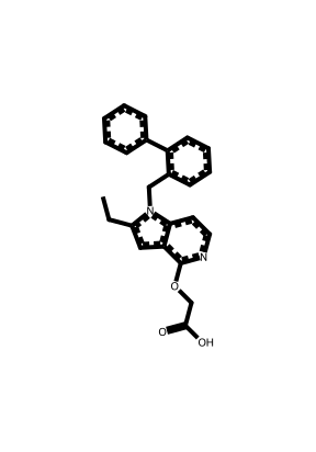 CCc1cc2c(OCC(=O)O)nccc2n1Cc1ccccc1-c1ccccc1